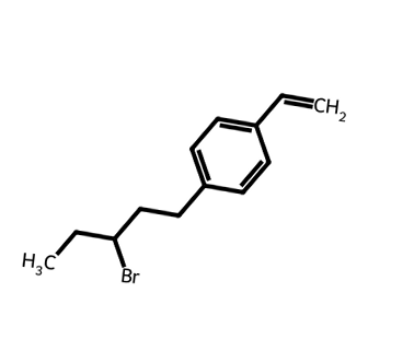 C=Cc1ccc(CCC(Br)CC)cc1